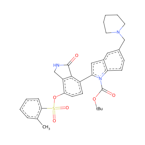 Cc1ccccc1S(=O)(=O)Oc1ccc(-c2cc3cc(CN4CCCCC4)ccc3n2C(=O)OC(C)(C)C)c2c1CNC2=O